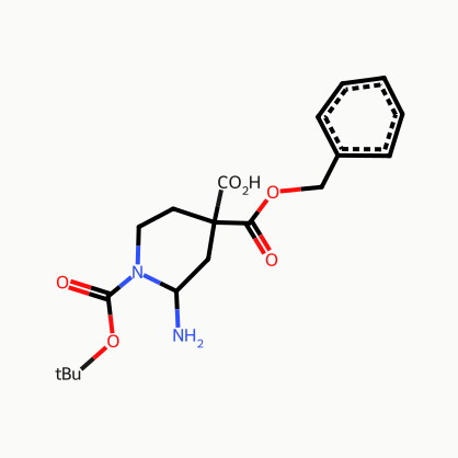 CC(C)(C)OC(=O)N1CCC(C(=O)O)(C(=O)OCc2ccccc2)CC1N